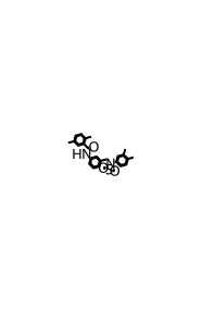 Cc1ccc(C)c(C(=O)Nc2cccc(CN(c3ccc(C)c(C)c3)S(C)(=O)=O)c2)c1